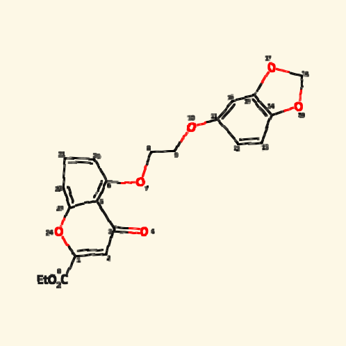 CCOC(=O)c1cc(=O)c2c(OCCOc3ccc4c(c3)OCO4)cccc2o1